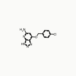 Nc1cc(OCc2ccc(Cl)cc2)c2nn[nH]c2n1